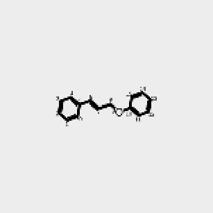 [c]1ccccc1/C=C/COc1ccccc1